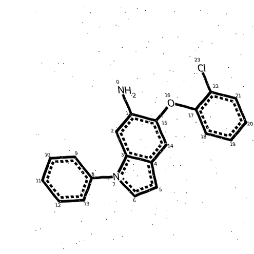 Nc1cc2c(ccn2-c2ccccc2)cc1Oc1ccccc1Cl